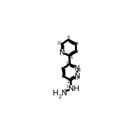 NNc1ccc(-c2ccccn2)nn1